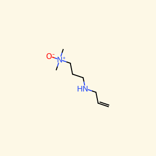 C=CCNCCC[N+](C)(C)[O-]